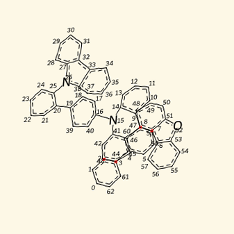 c1ccc(-c2cccc(-c3ccccc3N(c3ccc(-c4ccccc4-n4c5ccccc5c5ccccc54)cc3)c3ccccc3-c3cccc4oc5ccccc5c34)c2)cc1